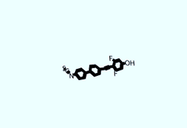 Oc1cc(F)c(C#Cc2ccc(-c3ccc(N=C=S)cc3)cc2)c(F)c1